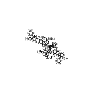 Cc1cc(OC(COC(=O)C(C)(C)C)(COC(=O)C(C)(C)C)O[PH](=O)OC(COC(=O)C(C)(C)C)(COC(=O)C(C)(C)C)Oc2cc(C)c(Cc3ccc(O)c(C4CCCCC4)n3)c(C)c2C)c(C)c(C)c1Cc1ccc(O)c(C2CCCCC2)n1